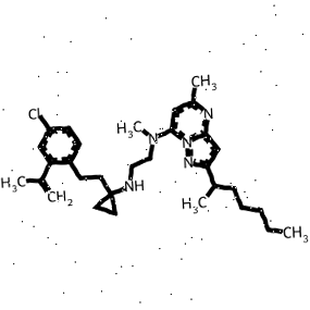 C=C(C)c1cc(Cl)ccc1CCC1(NCCN(C)c2cc(C)nc3cc(C(C)CCCCC)nn23)CC1